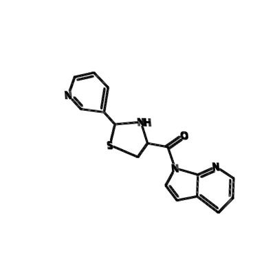 O=C(C1CSC(c2cccnc2)N1)n1ccc2cccnc21